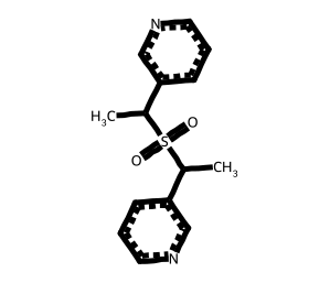 CC(c1cccnc1)S(=O)(=O)C(C)c1cccnc1